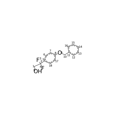 OCC(F)(F)c1ccc(OCc2ccccc2)cc1